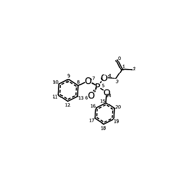 C=C(C)COP(=O)(Oc1ccccc1)Oc1ccccc1